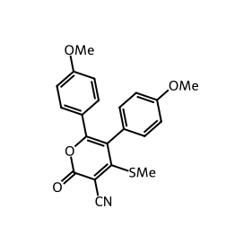 COc1ccc(-c2oc(=O)c(C#N)c(SC)c2-c2ccc(OC)cc2)cc1